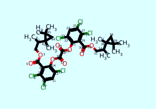 CC(COC(=O)c1c(Cl)c(Cl)cc(Cl)c1OC(=O)C(=O)Oc1c(Cl)cc(Cl)c(Cl)c1C(=O)OCC(C)C1(C)CC1(C)C)C1(C)CC1(C)C